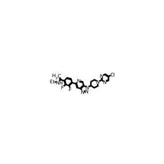 C=C(NCC)c1ccc(-c2cc3nnn(C4CCN(c5ncc(Cl)cn5)CC4)c3cn2)c(F)c1F